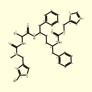 CCC(NC(=O)N(C)Cc1csc(C(C)C)n1)C(=O)NC(CCC(Cc1ccccc1)NC(=O)OCc1cncs1)Cc1ccccc1